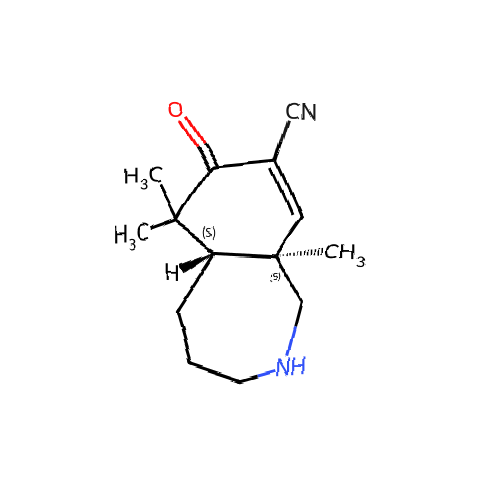 CC1(C)C(=O)C(C#N)=C[C@@]2(C)CNCCC[C@H]12